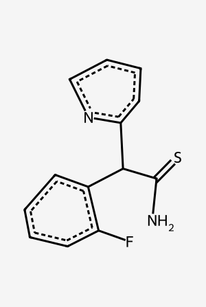 NC(=S)C(c1ccccn1)c1ccccc1F